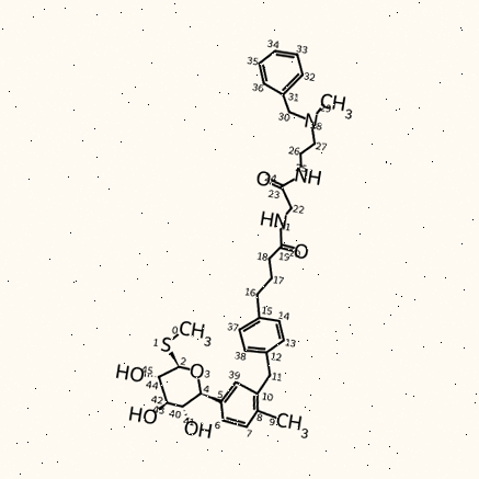 CS[C@H]1O[C@@H](c2ccc(C)c(Cc3ccc(CCCC(=O)NCC(=O)NCCN(C)Cc4ccccc4)cc3)c2)[C@H](O)[C@@H](O)[C@@H]1O